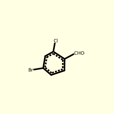 O=[C]c1ccc(Br)cc1Cl